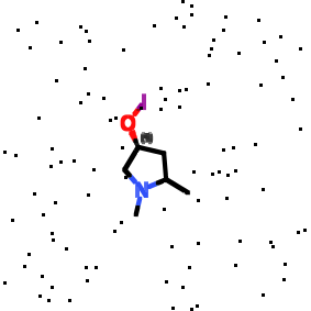 CC1C[C@H](OI)CN1C